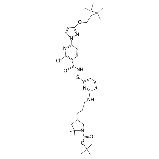 CC(C)(C)OC(=O)N1CC(CCCNc2cccc(SNC(=O)c3ccc(-n4ccc(OCC5C(C)(C)C5(C)C)n4)nc3Cl)n2)CC1(C)C